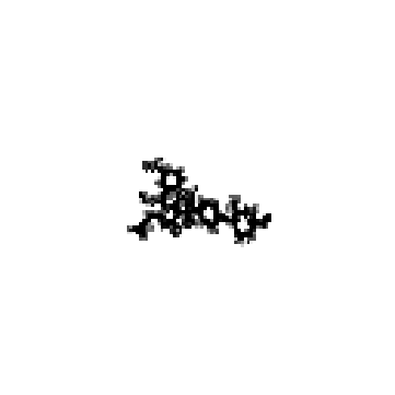 CC[C@@H](c1cccc(C#N)c1)n1c(CC2CC2)nc(=O)c(S(=O)(=O)c2ccc(-c3ccc(F)nc3C)cc2)c1O